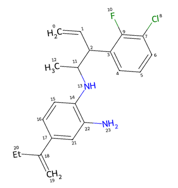 C=CC(c1cccc(Cl)c1F)C(C)Nc1ccc(C(=C)CC)cc1N